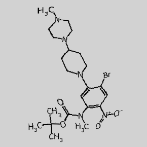 CN1CCN(C2CCN(c3cc(N(C)C(=O)OC(C)(C)C)c([N+](=O)[O-])cc3Br)CC2)CC1